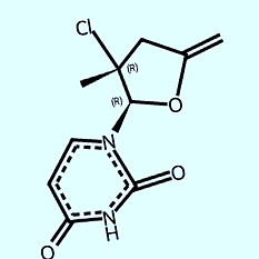 C=C1C[C@@](C)(Cl)[C@H](n2ccc(=O)[nH]c2=O)O1